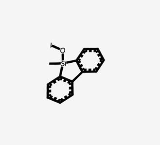 C[Si]1(OI)c2ccccc2-c2ccccc21